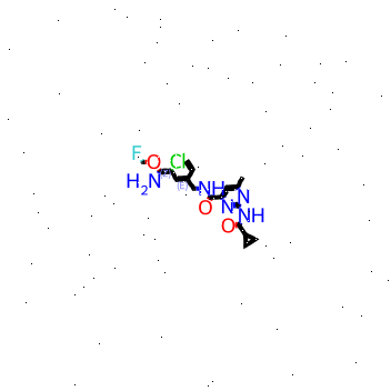 C=C/C(=C\C(Cl)=C(/N)OCF)CNC(=O)c1cc(C)nc(NC(=O)C2CC2)n1